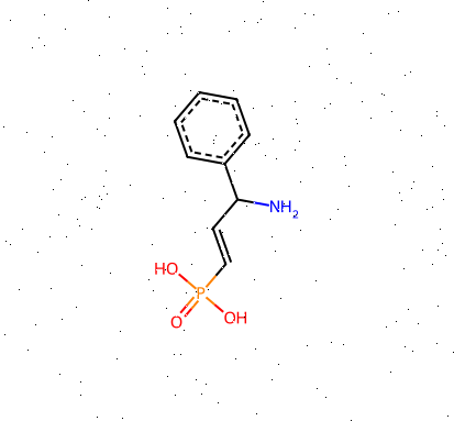 NC(/C=C/P(=O)(O)O)c1ccccc1